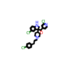 O=C(c1ccnc(Cl)c1)C1(C2CCN(C=CCc3ccc(Cl)cc3)CC2)CNc2ccc(Cl)cc21